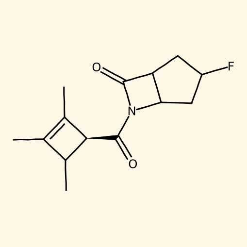 CC1=C(C)[C@@H](C(=O)N2C(=O)C3CC(F)CC32)C1C